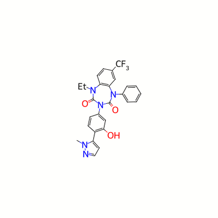 CCN1C(=O)N(c2ccc(-c3ccnn3C)c(O)c2)C(=O)N(c2ccccc2)c2cc(C(F)(F)F)ccc21